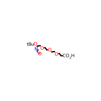 CC(C)(C)OC(COCCOCCOCCC(=O)O)N=C=O